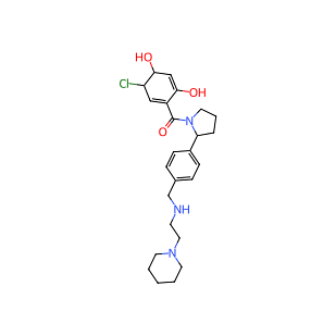 O=C(C1=CC(Cl)C(O)C=C1O)N1CCCC1c1ccc(CNCCN2CCCCC2)cc1